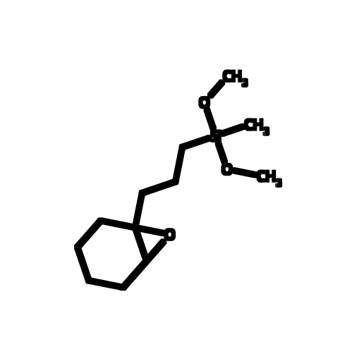 CO[Si](C)(CCCC12CCCCC1O2)OC